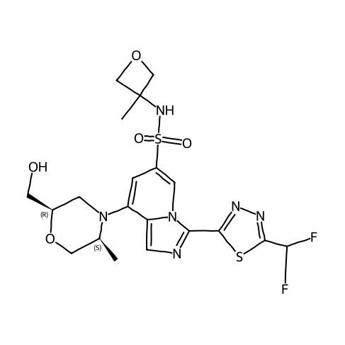 C[C@H]1CO[C@@H](CO)CN1c1cc(S(=O)(=O)NC2(C)COC2)cn2c(-c3nnc(C(F)F)s3)ncc12